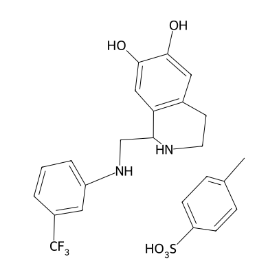 Cc1ccc(S(=O)(=O)O)cc1.Oc1cc2c(cc1O)C(CNc1cccc(C(F)(F)F)c1)NCC2